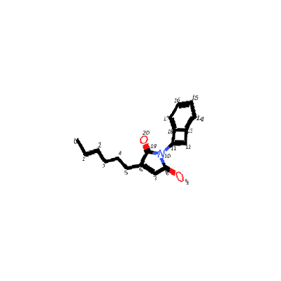 CCCCCCC1=CC(=O)N(C2=Cc3ccccc32)C1=O